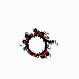 CCCC[C@H]1C(=O)N2CCC[C@@H]2C(=O)N2CCC[C@H]2C(=O)N[C@@H](C(C)C)C(=O)N(C)[C@@H](Cc2ccccc2)C(=O)N[C@@H](Cc2ccc(O)cc2)C(=O)N2CC[C@@H]2C(=O)N[C@@H](Cc2c[nH]c3ccccc23)C(=O)N[C@@H](Cc2ccc(O)cc2)C(=O)N[C@@H](CC(C)C)C(=O)N[C@H](C(=O)NCC(N)=O)CSCC(=O)N[C@@H](Cc2cc(F)c(F)c(F)c2)C(=O)N(C)[C@@H](Cc2ccccc2)C(=O)N1C